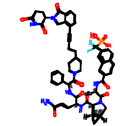 CCCC[C@H](NC(=O)c1ccc2ccc(C(F)(F)P(=O)(O)O)cc2c1)C(=O)N1C[C@H]2C[C@H]2[C@H]1C(=O)N[C@@H](CCC(N)=O)C(=O)N[C@H](C(=O)N1CCC(CCC#Cc2cccc3c2CN(C2CCC(=O)NC2=O)C3=O)CC1)c1ccccc1